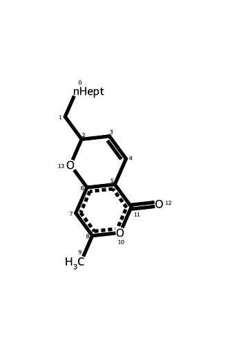 CCCCCCCCC1C=Cc2c(cc(C)oc2=O)O1